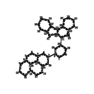 c1cc(-c2cc3ccc4cccc5ccc(c2)c3c45)cc(-c2nc3ccccc3c3c2sc2ccccc23)c1